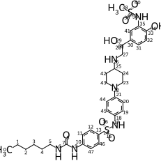 CCCCCCNC(=O)Nc1ccc(S(=O)(=O)Nc2ccc(N3CCC(NC[C@H](O)c4ccc(O)c(NS(C)(=O)=O)c4)CC3)cc2)cc1